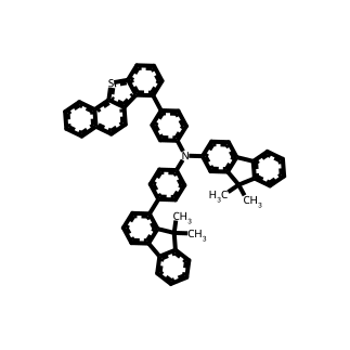 CC1(C)c2ccccc2-c2ccc(N(c3ccc(-c4cccc5c4C(C)(C)c4ccccc4-5)cc3)c3ccc(-c4cccc5sc6c7ccccc7ccc6c45)cc3)cc21